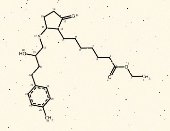 CCOC(=O)CCCCCCC1C(=O)CCC1SCC(O)CCc1ccc(C)cc1